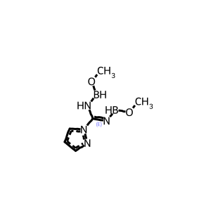 COB/N=C(\NBOC)n1cccn1